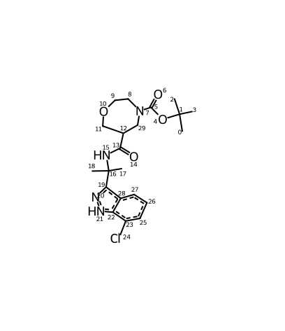 CC(C)(C)OC(=O)N1CCOCC(C(=O)NC(C)(C)c2n[nH]c3c(Cl)cccc23)C1